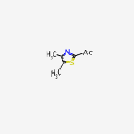 CC(=O)c1nc(C)c(C)s1